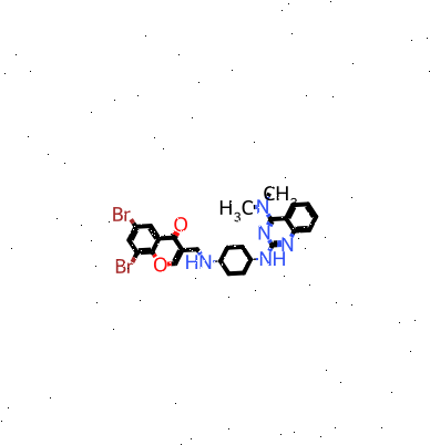 CN(C)c1nc(N[C@H]2CC[C@@H](NCc3coc4c(Br)cc(Br)cc4c3=O)CC2)nc2ccccc12